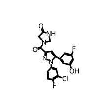 O=C1CN(C(=O)c2cc(-c3cc(O)cc(F)c3)n(-c3ccc(F)c(Cl)c3)n2)CN1